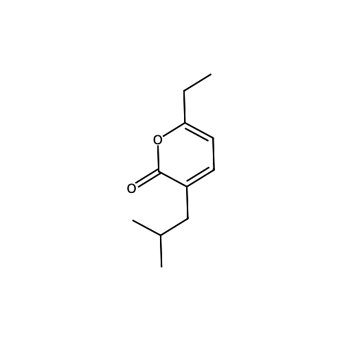 CCc1ccc(CC(C)C)c(=O)o1